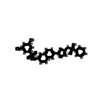 O=S(=O)(Cc1noc(-c2ccc3cc(NS(=O)(=O)c4cc(Cl)cc(Cl)c4)ccc3c2)n1)c1ccccc1